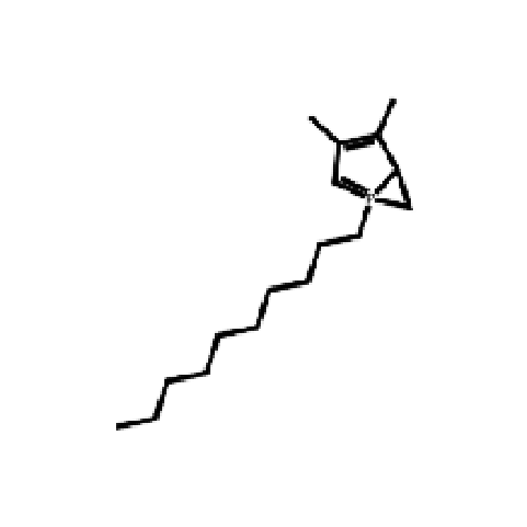 CCCCCCCCCCP12=CC(C)=C(C)C1C2